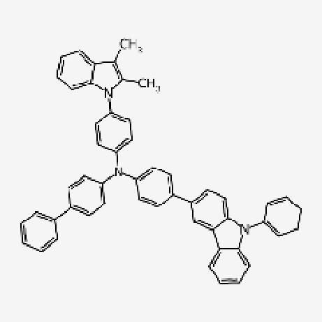 Cc1c(C)n(-c2ccc(N(c3ccc(-c4ccccc4)cc3)c3ccc(-c4ccc5c(c4)c4ccccc4n5C4=CCCC=C4)cc3)cc2)c2ccccc12